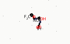 CC(C)OC(=O)CCC/C=C\C[C@H]1[C@@H](O)CC[C@@H]1/C=C/[C@H](COc1cccc(C(F)(F)F)c1)N=O